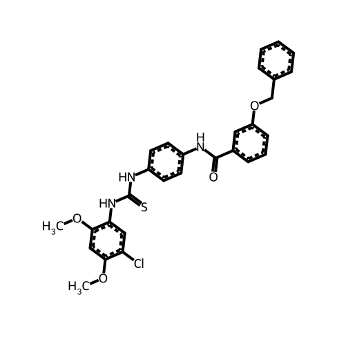 COc1cc(OC)c(NC(=S)Nc2ccc(NC(=O)c3cccc(OCc4ccccc4)c3)cc2)cc1Cl